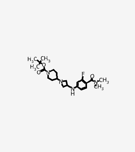 CN(C)C(=O)c1ccc(NC2CN(C3CCN(C(=O)OC(C)(C)C)CC3)C2)cc1F